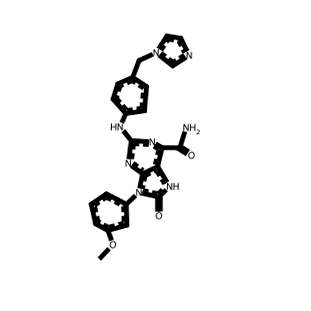 COc1cccc(-n2c(=O)[nH]c3c(C(N)=O)nc(Nc4ccc(Cn5ccnc5)cc4)nc32)c1